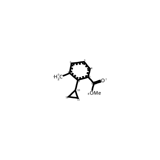 [CH2]c1cccc(C(=O)OC)c1C1CC1